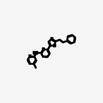 Cc1ccnc(Nc2cccc(-c3cnc(CCc4ccccc4)o3)n2)c1